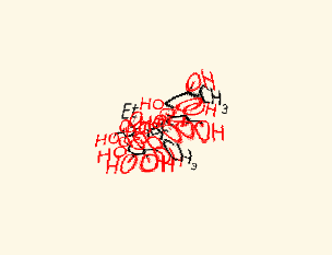 CCO[C@H]1OC(CO)[C@H](O[C@H]2OC(CO)[C@@H](O)C(O)[C@@H]2O)C(O[C@H]2OC(C)[C@H](O[C@H]3OC(CO)[C@@H](O)C(O[C@H]4OC(C)[C@H](O)C[C@@H]4O)[C@@]3(O)CC)C(O)[C@@H]2O)[C@@H]1O